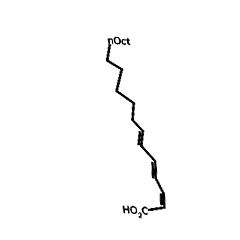 CCCCCCCCCCCCCC=CC=C/C=C\C(=O)O